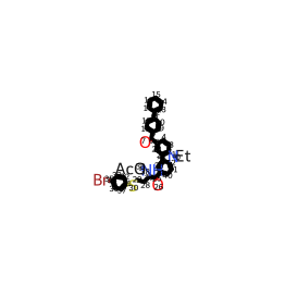 CCn1c2ccc(C(=O)c3ccc(-c4ccccc4)cc3)cc2c2cc(C(=O)C(CCSc3ccc(Br)cc3)NOC(C)=O)ccc21